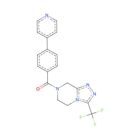 O=C(c1ccc(-c2ccncc2)cc1)N1CCn2c(nnc2C(F)(F)F)C1